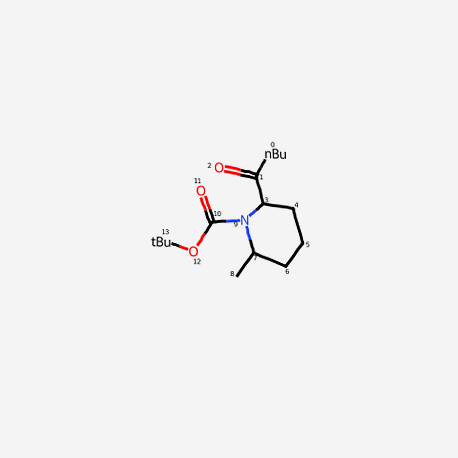 CCCCC(=O)C1CCCC(C)N1C(=O)OC(C)(C)C